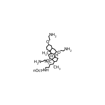 CCCCCCCCNCCC[C@@H](C)C1CC[C@H]2C3[C@H](OCCN)CC4C[C@H](OCCN)CCC4(C)[C@H]3C[C@H](OCCN)[C@]12C